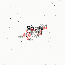 CC(O)COC(C)CO.CCCCOC(=O)CC(O)(CC(=O)OCCCC)C(=O)OCCCC.O=C(O)CC(O)(CC(=O)O)C(=O)O.O=C(O)CCCCCCCC(=O)O.O=C(O)c1ccccc1.O=C(O)c1ccccc1